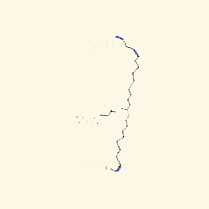 CCCCC/C=C\C/C=C\CCCCCCCCC(CCCCCCCC/C=C\CCCCCCCC)COC(=O)CCNC